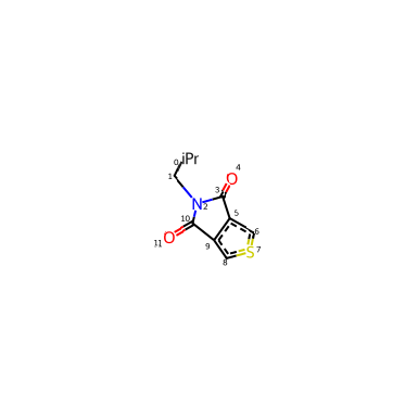 CC(C)CN1C(=O)c2cscc2C1=O